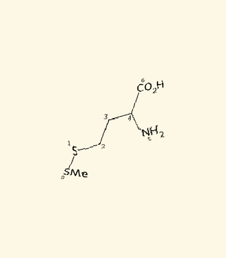 CSSCCC(N)C(=O)O